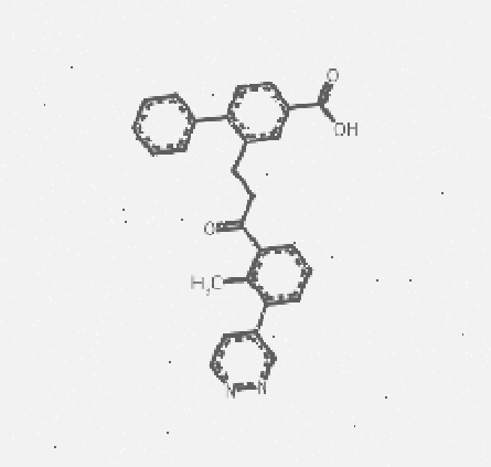 Cc1c(C(=O)CCc2cc(C(=O)O)ccc2-c2ccccc2)cccc1-c1ccnnc1